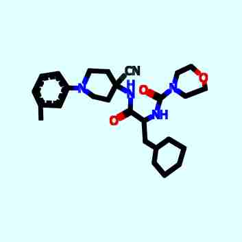 Cc1cccc(N2CCC(C#N)(NC(=O)C(CC3CCCCC3)NC(=O)N3CCOCC3)CC2)c1